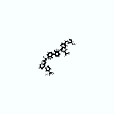 Cc1c(NC(=O)c2cc3n(n2)CCC[C@H]3N2CC[C@@H](C(=O)O)C2)cccc1-c1cccc(Nc2nc(C(F)F)nc3cc(CN4CC[C@@H](O)C4)cnc23)c1C